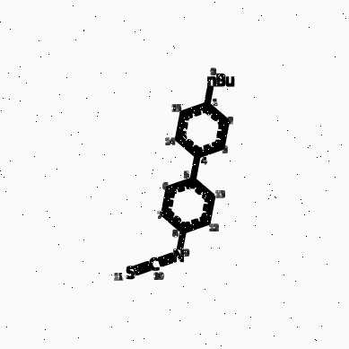 CCCCc1ccc(-c2ccc(N=C=S)cc2)cc1